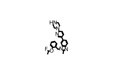 Cc1nc2ccc(-c3ccc(N4CCNCC4)nc3)cc2n1Cc1ccccc1OC(C)F